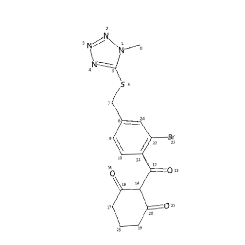 Cn1nnnc1SCc1ccc(C(=O)C2C(=O)CCCC2=O)c(Br)c1